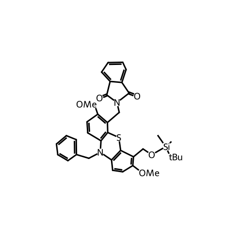 COc1ccc2c(c1CO[Si](C)(C)C(C)(C)C)Sc1c(ccc(OC)c1CN1C(=O)c3ccccc3C1=O)N2Cc1ccccc1